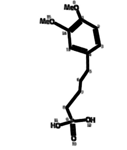 COc1ccc(CCCCP(=O)(O)O)cc1OC